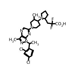 Cc1nn(C(C)c2ccc(Cl)cc2Cl)c2nc(N3CCC(N4CCCC4CC(F)(F)C(=O)O)C(C)C3)cnc12